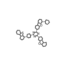 c1ccc(-c2cccc3c2oc2cc(-c4nc(-c5ccc(-c6cccc7c6sc6ccccc67)cc5)nc(-c5ccc6c(c5)oc5ccccc56)n4)ccc23)cc1